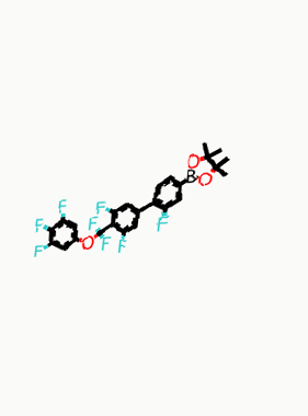 CC1(C)OB(c2ccc(-c3cc(F)c(C(F)(F)Oc4cc(F)c(F)c(F)c4)c(F)c3)c(F)c2)OC1(C)C